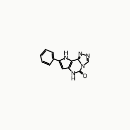 O=c1[nH]c2cc(-c3ccccc3)[nH]c2c2nncn12